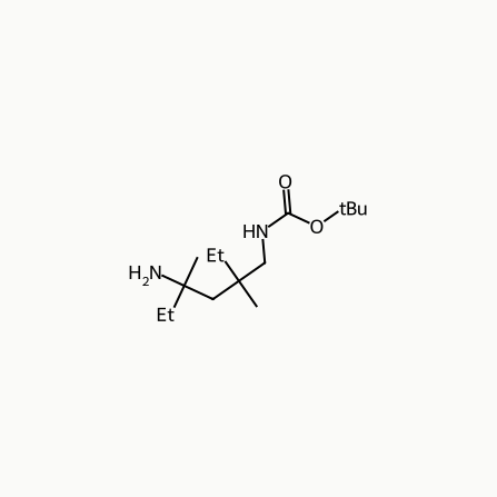 CCC(C)(N)CC(C)(CC)CNC(=O)OC(C)(C)C